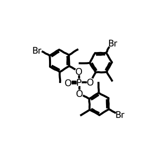 Cc1cc(Br)cc(C)c1OP(=O)(Oc1c(C)cc(Br)cc1C)Oc1c(C)cc(Br)cc1C